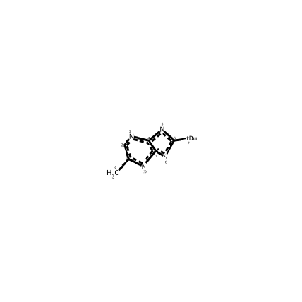 Cc1cnc2nc(C(C)(C)C)sc2n1